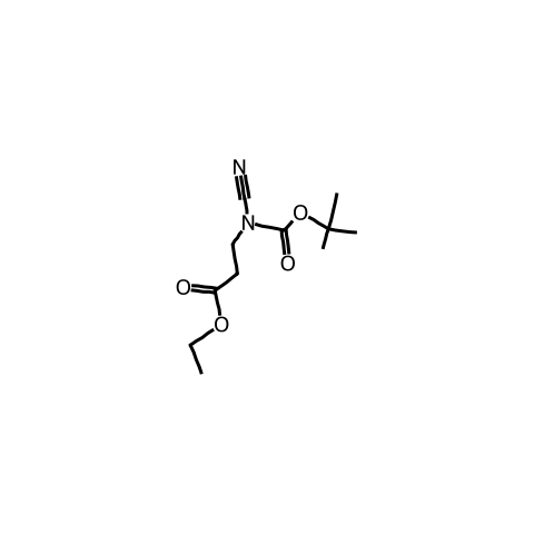 CCOC(=O)CCN(C#N)C(=O)OC(C)(C)C